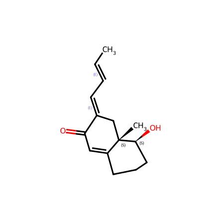 C/C=C/C=C1\C[C@@]2(C)C(=CC1=O)CCC[C@@H]2O